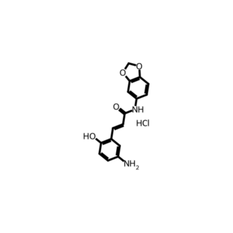 Cl.Nc1ccc(O)c(C=CC(=O)Nc2ccc3c(c2)OCO3)c1